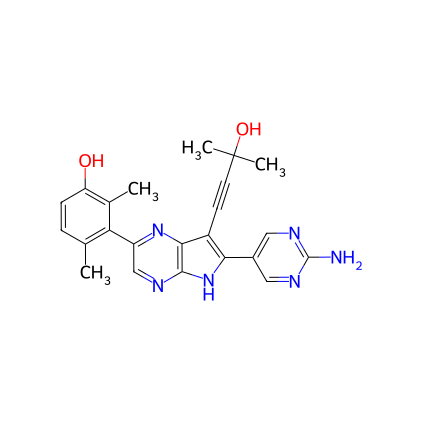 Cc1ccc(O)c(C)c1-c1cnc2[nH]c(-c3cnc(N)nc3)c(C#CC(C)(C)O)c2n1